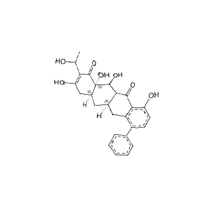 CC(O)C1=C(O)C[C@@H]2C[C@@H]3Cc4c(-c5ccccc5)ccc(O)c4C(=O)C3C(O)[C@]2(O)C1=O